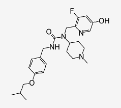 CC(C)COc1ccc(CNC(=O)N(Cc2ncc(O)cc2F)C2CCN(C)CC2)cc1